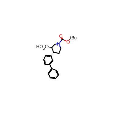 CC(C)(C)OC(=O)N1CC[C@H](c2cccc(-c3ccccc3)c2)[C@@H](C(=O)O)C1